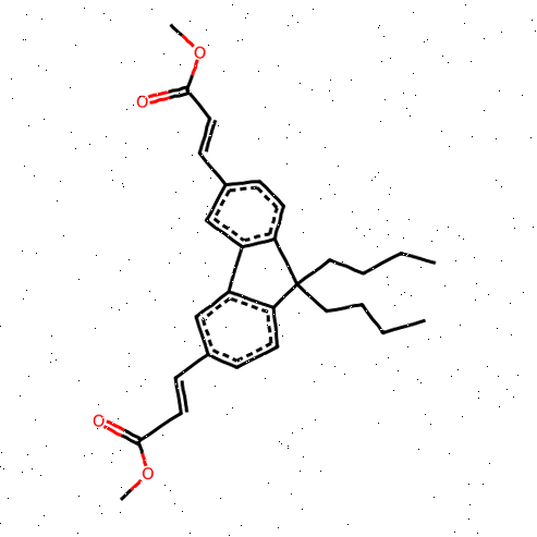 CCCCC1(CCCC)c2ccc(/C=C/C(=O)OC)cc2-c2cc(/C=C/C(=O)OC)ccc21